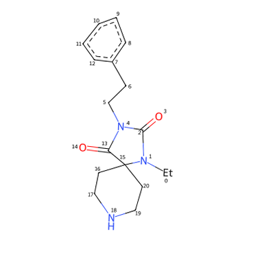 CCN1C(=O)N(CCc2ccccc2)C(=O)C12CCNCC2